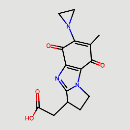 CC1=C(N2CC2)C(=O)c2nc3n(c2C1=O)CCC3CC(=O)O